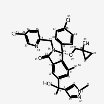 Cn1cc(C(C)(O)c2cc(F)c3c(c2)C(=O)N(Cc2ccc(Cl)cn2)[C@@]3(OCC2(C#N)CC2)c2ccc(Cl)cc2)cn1